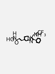 O=C(C=Cc1ccn2c(CNCC(F)(F)F)c(-c3ccccc3)nc2c1)NO